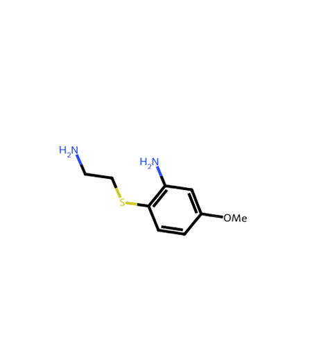 COc1ccc(SCCN)c(N)c1